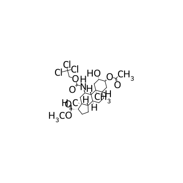 COC(=O)[C@H]1CC[C@H]2[C@@H]3CC[C@H]4C[C@H](OC(C)=O)[C@@H](O)C[C@]4(C)[C@H]3[C@H](NC(=O)OCC(Cl)(Cl)Cl)C[C@]12C